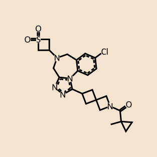 CC1(C(=O)N2CC3(CC(c4nnc5n4-c4ccc(Cl)cc4CN(C4CS(=O)(=O)C4)C5)C3)C2)CC1